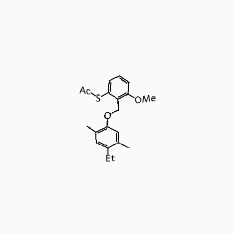 CCc1cc(C)c(OCc2c(OC)cccc2SC(C)=O)cc1C